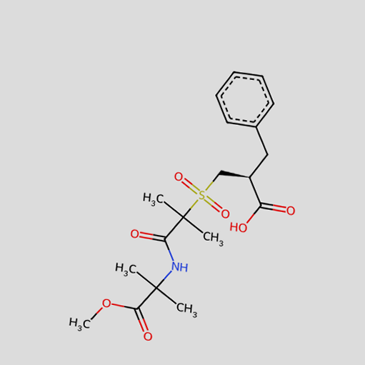 COC(=O)C(C)(C)NC(=O)C(C)(C)S(=O)(=O)C[C@@H](Cc1ccccc1)C(=O)O